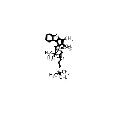 CC1=C(C)C2(CN(C(C)(C)C)S2(C)CCCCCOC(C)(C)C)c2c1sc1ccccc21